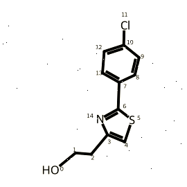 OCCc1csc(-c2ccc(Cl)cc2)n1